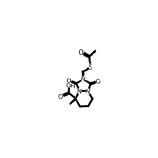 CC(=O)SCn1c(=O)n2n(c1=O)C(C)(C(=O)O)CCC2